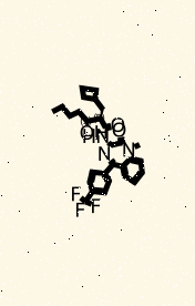 CCCC[C@H](O)[C@@H](CC1CCC1)C(=O)NC1N=C(c2ccc(C(F)(F)F)cc2)c2ccccc2N(C)C1=O